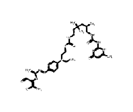 C=C(/N=N/c1ccc(N(CC)CCOC(=O)NCCC(C)(C)CC(C)CNC(=O)Nc2nc(=O)cc(C)[nH]2)cc1)S/C(C=O)=C(\N)Cl